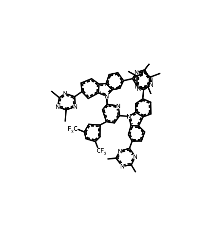 Cc1nc(C)nc(-c2ccc3c4ccc(-c5nc(C)nc(C)n5)cc4n(-c4cc(-c5cc(C(F)(F)F)cc(C(F)(F)F)c5)cc(-n5c6cc(-c7nc(C)nc(C)n7)ccc6c6ccc(-c7nc(C)nc(C)n7)cc65)n4)c3c2)n1